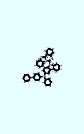 c1ccc(-c2ccc(N(c3ccccc3)c3ccc4c(c3)c3ccccc3n4-c3nc4ccccc4c4nc5ccccc5n34)cc2)cc1